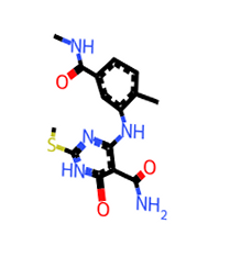 CNC(=O)c1ccc(C)c(Nc2nc(SC)[nH]c(=O)c2C(N)=O)c1